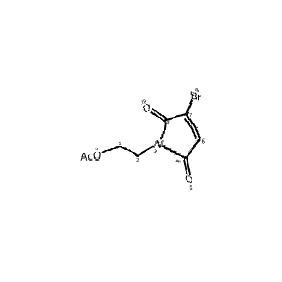 CC(=O)OCCN1C(=O)C=C(Br)C1=O